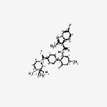 CN1CC(F)C(N2CCC(C(=O)N3CCN(C)C(C)(C)C3)CC2)C(NC(=O)c2c(N)nn3cc(F)cnc23)C1